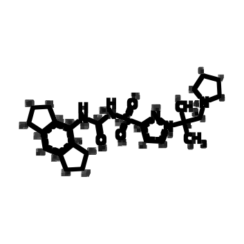 CC(C)(CN1CCCC1)n1ccc(S(=O)(=O)NC(=O)Nc2c3c(cc4c2CCC4)CCC3)n1